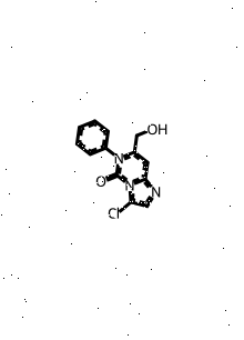 O=c1n(-c2ccccc2)c(CO)cc2ncc(Cl)n12